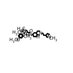 COc1cc(C)c(S(=O)(=O)N(C)CCC(=O)NC2CC[C@H]3CN(CCC4CCN(C)C4)CCC3C2)c(C)c1